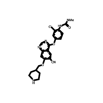 CNC(=O)Nc1ccc(Oc2ncnc3cc(OCC4CCNCC4)c(C#N)cc23)cc1Cl